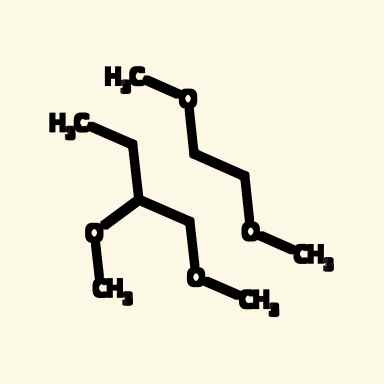 CCC(COC)OC.COCCOC